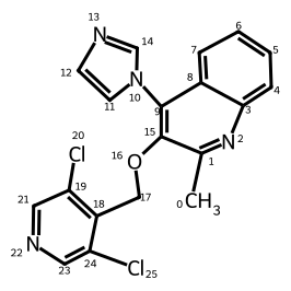 Cc1nc2ccccc2c(-n2ccnc2)c1OCc1c(Cl)cncc1Cl